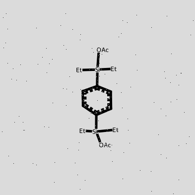 CC[Si](CC)(OC(C)=O)c1ccc([Si](CC)(CC)OC(C)=O)cc1